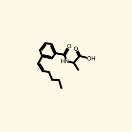 CCCC/C=C\c1cccc(C(=O)NC(C)C(=O)O)c1